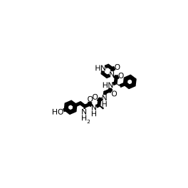 C[C@@H](NC(=O)[C@@H](N)Cc1ccc(O)cc1)C(=O)NCC(=O)N[C@@H](Cc1ccccc1)C(=O)N1CCNCC1=O